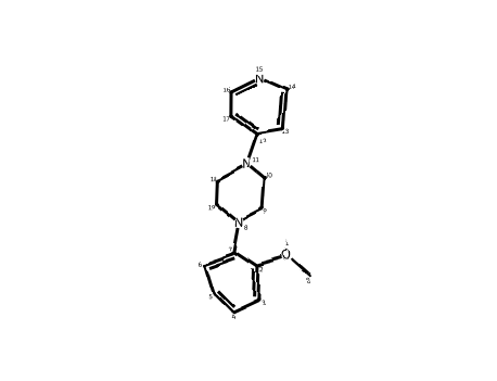 COc1ccccc1N1CCN(c2ccncc2)CC1